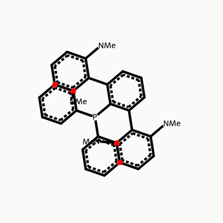 CNc1cccc(NC)c1-c1cccc(-c2c(NC)cccc2NC)c1P(c1ccccc1)c1ccccc1